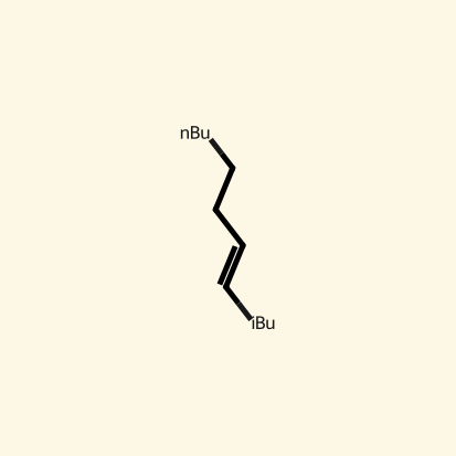 CCCCCCC=CC(C)CC